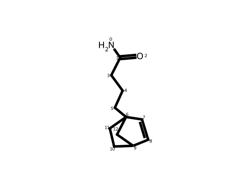 NC(=O)CCCC12C=CC(CC1)C2